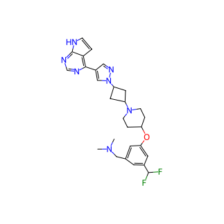 CN(C)Cc1cc(OC2CCN(C3CC(n4cc(-c5ncnc6[nH]ccc56)cn4)C3)CC2)cc(C(F)F)c1